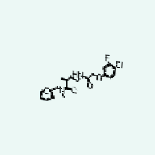 C=C(CCNC(=O)COc1ccc(Cl)c(F)c1)C(=O)N(C)Cc1ccccc1